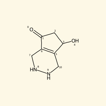 O=C1CC(O)C2=C1CNNC2